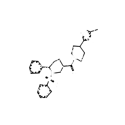 Cc1nnc(C2CCN(C(=O)C3CCC(c4ccccc4)N(S(=O)(=O)c4ccccc4)C3)CC2)o1